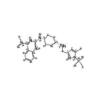 Cc1cc(CN[C@H]2CC[C@@H](Nc3nc(N(C)C)c4ccccc4n3)CC2)nn1C(C)(C)C